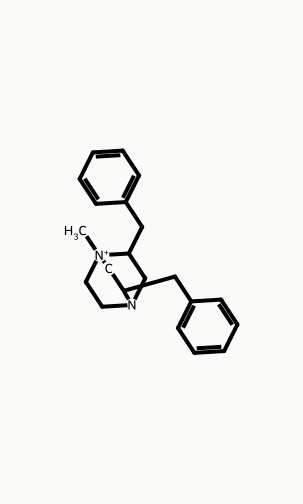 C[N+]12CCN(CC1Cc1ccccc1)C(Cc1ccccc1)C2